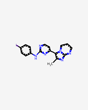 Cc1nc2ncccn2c1-c1ccnc(Nc2ccc(I)cc2)n1